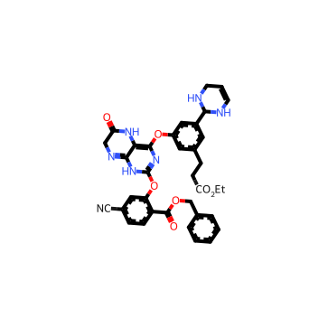 CCOC(=O)CCc1cc(OC2=C3NC(=O)CN=C3NC(Oc3cc(C#N)ccc3C(=O)OCc3ccccc3)=N2)cc(C2NC=CCN2)c1